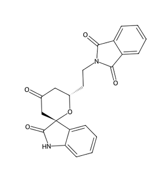 O=C1C[C@H](CCN2C(=O)c3ccccc3C2=O)O[C@@]2(C1)C(=O)Nc1ccccc12